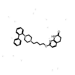 O=C1CCc2ccc(OCCCCN3CCN(c4ccccc4-c4ccccc4)CC3)nc2N1